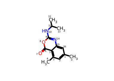 Cc1cc(C)c2c(=O)oc(NC(C)C)nc2c1